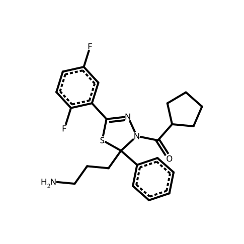 NCCCC1(c2ccccc2)SC(c2cc(F)ccc2F)=NN1C(=O)C1CCCC1